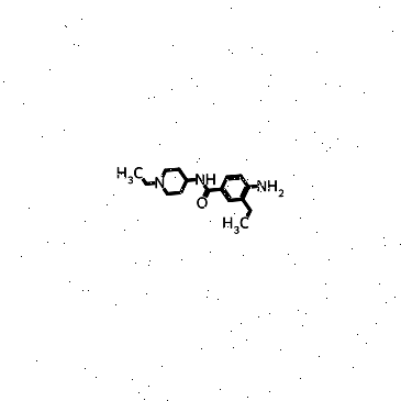 CCc1cc(C(=O)NC2CCN(CC)CC2)ccc1N